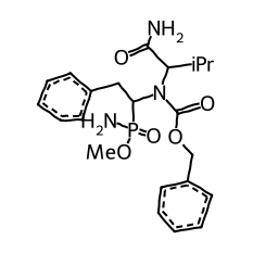 COP(N)(=O)C(Cc1ccccc1)N(C(=O)OCc1ccccc1)C(C(N)=O)C(C)C